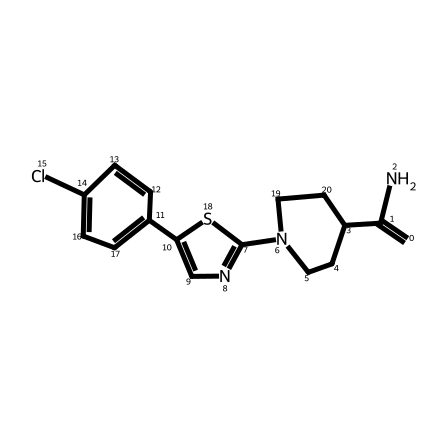 C=C(N)C1CCN(c2ncc(-c3ccc(Cl)cc3)s2)CC1